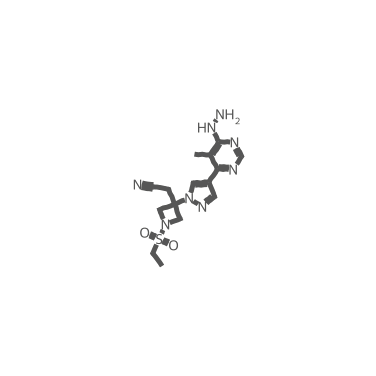 CCS(=O)(=O)N1CC(CC#N)(n2cc(-c3ncnc(NN)c3C)cn2)C1